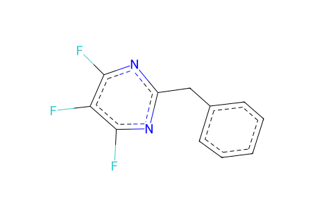 Fc1nc(Cc2ccccc2)nc(F)c1F